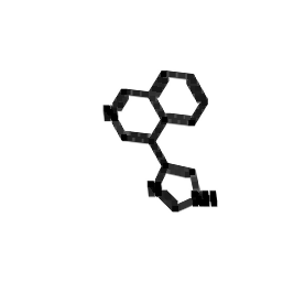 c1ccc2c(-c3c[nH]cn3)cncc2c1